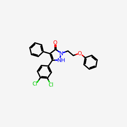 O=c1c(-c2ccccc2)c(-c2ccc(Cl)c(Cl)c2)[nH]n1CCOc1ccccc1